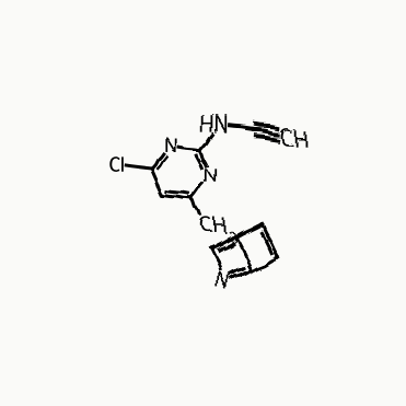 C#CNc1nc(C)cc(Cl)n1.c1cc2ncc1-2